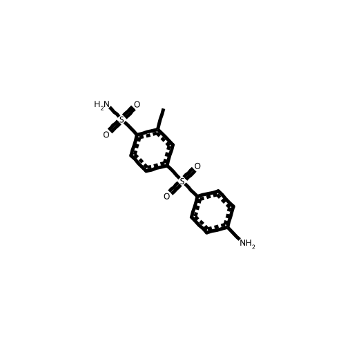 Cc1cc(S(=O)(=O)c2ccc(N)cc2)ccc1S(N)(=O)=O